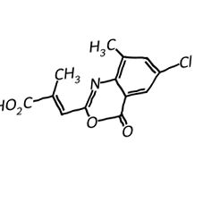 CC(=Cc1nc2c(C)cc(Cl)cc2c(=O)o1)C(=O)O